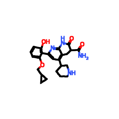 NC(=O)C1Cc2c(C3CCCNC3)cc(-c3c(O)cccc3OCC3CC3)nc2NC1=O